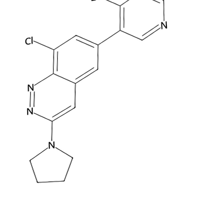 CCc1ccncc1-c1cc(Cl)c2nnc(N3CCCC3)cc2c1